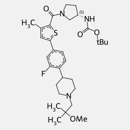 COC(C)(C)CN1CCC(c2ccc(-c3cc(C)c(C(=O)N4CC[C@H](NC(=O)OC(C)(C)C)C4)s3)cc2F)CC1